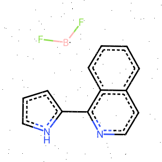 F[B]F.c1c[nH]c(-c2nccc3ccccc23)c1